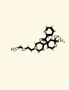 CCOCCN1CCC(C2(C(=O)c3ccccn3)CCOC(C)(C)C2)CC1